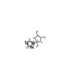 CCCC(C)(CCC)n1cncn1